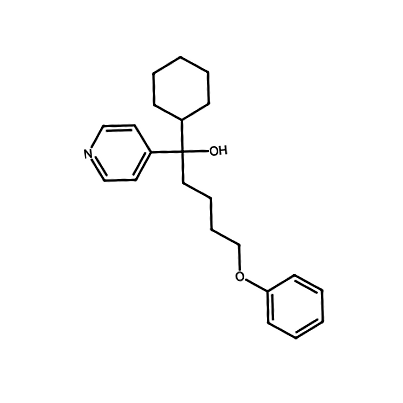 OC(CCCCOc1ccccc1)(c1ccncc1)C1CCCCC1